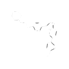 CC(C)Oc1ccc(-c2ccc3ncc(-c4ccc(OCCN5CCOCC5)cc4)n3c2)cc1